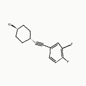 CC[C@H]1CC[C@H](C#Cc2ccc(F)c(F)c2)CC1